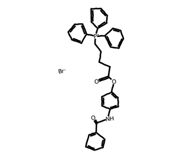 O=C(CCCC[P+](c1ccccc1)(c1ccccc1)c1ccccc1)Oc1ccc(NC(=O)c2ccccc2)cc1.[Br-]